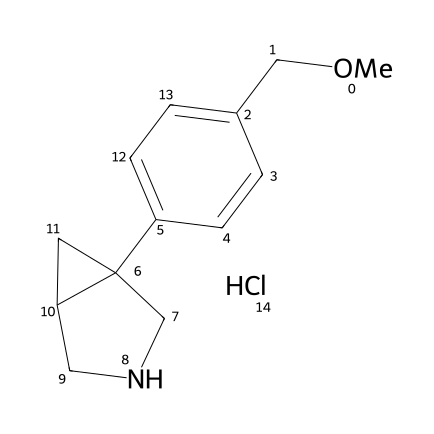 COCc1ccc(C23CNCC2C3)cc1.Cl